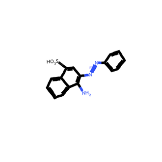 Nc1c(/N=N/c2ccccc2)cc(S(=O)(=O)O)c2ccccc12